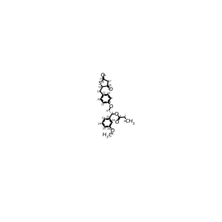 CCC(=O)O[C@@H](COc1ccc(CC2SC(=O)CC2=O)cc1)c1cccc(OC)c1